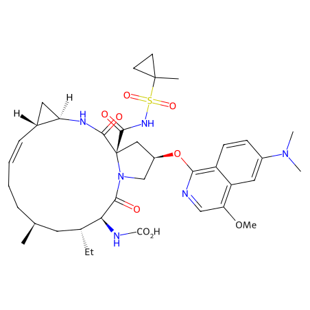 CC[C@@H]1C[C@@H](C)CC/C=C\[C@@H]2C[C@H]2NC(=O)[C@]2(C(=O)NS(=O)(=O)C3(C)CC3)C[C@@H](Oc3ncc(OC)c4cc(N(C)C)ccc34)CN2C(=O)[C@H]1NC(=O)O